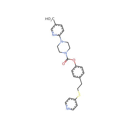 O=C(O)c1ccc(N2CCN(C(=O)Oc3ccc(CCSc4ccncc4)cc3)CC2)nc1